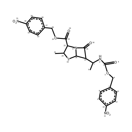 CC(NC(=O)OCc1ccc([N+](=O)[O-])cc1)C1C(=O)N2C1SC(C)C2C(=O)OCc1ccc([N+](=O)[O-])cc1